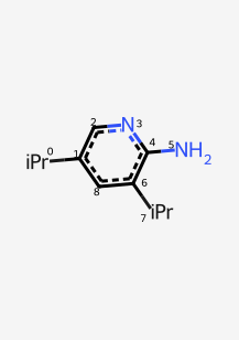 CC(C)c1cnc(N)c(C(C)C)c1